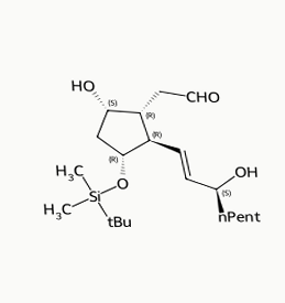 CCCCC[C@H](O)C=C[C@@H]1[C@@H](CC=O)[C@@H](O)C[C@H]1O[Si](C)(C)C(C)(C)C